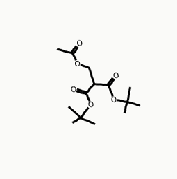 CC(=O)OCC(C(=O)OC(C)(C)C)C(=O)OC(C)(C)C